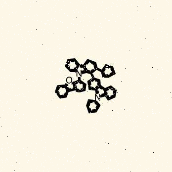 c1ccc(-c2ccc3c4ccccc4n(-c4cccc5c4oc4ccccc45)c3c2-c2ccc3c(c2)c2ccccc2n3-c2ccccc2)cc1